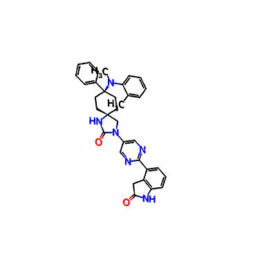 Cc1ccccc1N(C)[C@]1(c2ccccc2)CC[C@@]2(CC1)CN(c1cnc(-c3cccc4c3CC(=O)N4)nc1)C(=O)N2